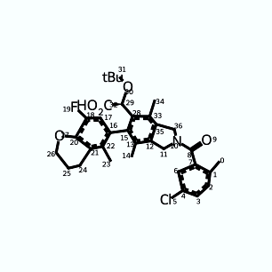 Cc1ccc(Cl)cc1C(=O)N1Cc2c(C)c(-c3cc(F)c4c(c3C)CCCO4)c([C@H](OC(C)(C)C)C(=O)O)c(C)c2C1